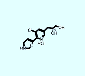 Cl.OC[C@H](O)Cc1cnc(C2=CCNCC2)c(Cl)c1